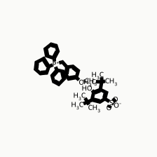 CC(C)(C)c1cc(S(=O)(=O)[O-])cc(C(C)(C)C)c1O.COc1ccc(C[P+](c2ccccc2)(c2ccccc2)c2ccccc2)cc1